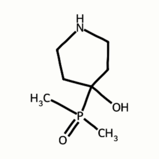 CP(C)(=O)C1(O)CCNCC1